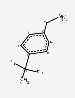 CC(F)(I)c1ccc(CN)cc1